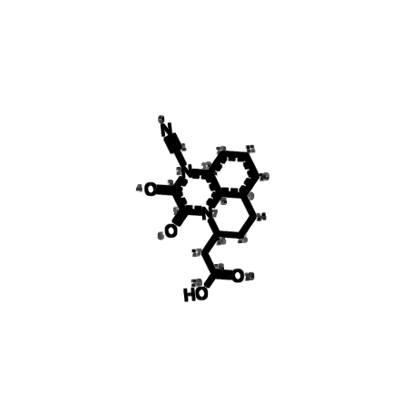 N#Cn1c(=O)c(=O)n2c3c(cccc31)CCC2CC(=O)O